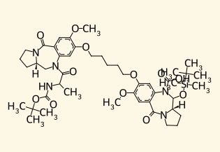 COc1cc2c(cc1OCCCCCOc1cc3c(cc1OC)C(=O)N1CCC[C@H]1C(O[Si](C)(C)C(C)(C)C)N3C(=O)O)N(C(=O)C(C)NC(=O)OC(C)(C)C)C[C@@H]1CCCN1C2=O